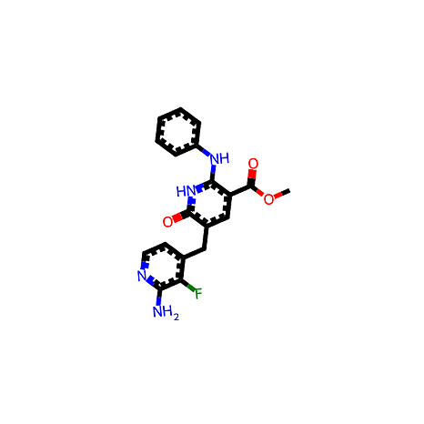 COC(=O)c1cc(Cc2ccnc(N)c2F)c(=O)[nH]c1Nc1ccccc1